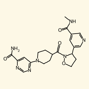 CNC(=O)c1cncc(C2CCON2C(=O)C2CCN(c3cc(C(N)=O)ncn3)CC2)c1